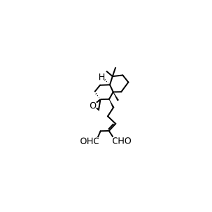 CC1(C)CCC[C@@]2(C)[C@H]1CC[C@@]1(CO1)[C@@H]2CC/C=C(/C=O)CC=O